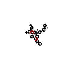 CC(C)(C)c1ccc2c(c1)c1cc(C(C)(C)C)ccc1n2-c1cc2c3c(c1)N(c1c(-c4ccccc4)cccc1-c1ccccc1)c1cc(-c4ccc5oc6ccccc6c5c4)ccc1B3c1ccc(-c3ccc4oc5ccccc5c4c3)cc1S2